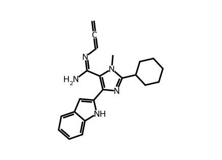 C=C=C/N=C(/N)c1c(-c2cc3ccccc3[nH]2)nc(C2CCCCC2)n1C